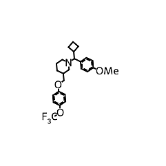 COc1ccc(C(C2CCC2)N2CCCC(COc3ccc(OC(F)(F)F)cc3)C2)cc1